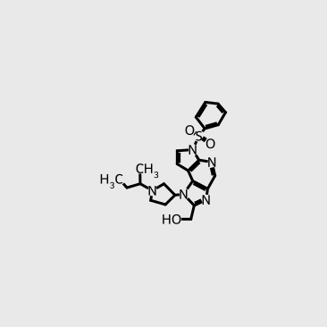 CCC(C)N1CCC(n2c(CO)nc3cnc4c(ccn4S(=O)(=O)c4ccccc4)c32)C1